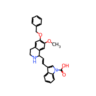 COc1cc2c(cc1OCc1ccccc1)CCNC2C=Cc1cn(C(=O)O)c2ccccc12